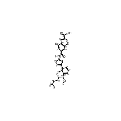 COc1c(-c2csc(NC(=O)c3cc(F)c(C=C(C)C(=O)O)c(F)c3)n2)cccc1C(CCCC(C)C)OC